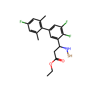 CCOC(=O)CC(NS)c1cc(-c2c(C)cc(F)cc2C)cc(F)c1F